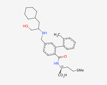 CSCC[C@H](NC(=O)c1ccc(CNC(CO)CC2CCCCC2)cc1-c1ccccc1C)C(=O)O